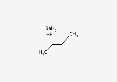 CCCC.F.[BaH2]